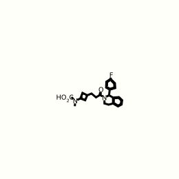 CN(C(=O)O)C12CC(CCC(=O)N3CCc4ccccc4C3c3ccc(F)cc3)(C1)C2